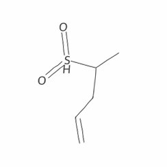 C=CCC(C)[SH](=O)=O